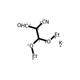 CCOC(OCC)C(C#N)C=O.[K]